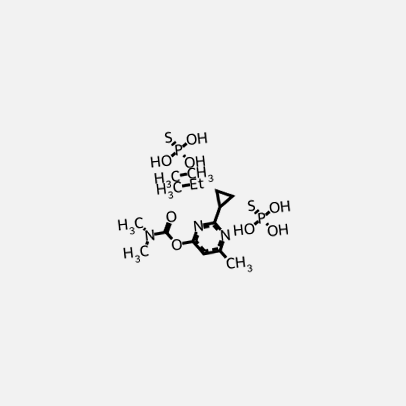 CC.CCC.Cc1cc(OC(=O)N(C)C)nc(C2CC2)n1.OP(O)(O)=S.OP(O)(O)=S